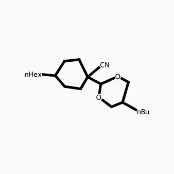 CCCCCCC1CCC(C#N)(C2OCC(CCCC)CO2)CC1